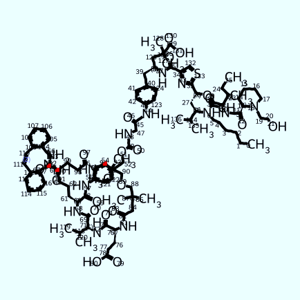 CCCCCCN(C(=O)[C@@H](NC(=O)[C@H]1CCCCN1CCO)[C@@H](C)CC)[C@H](C[C@@H](OCC)c1nc(C(=O)N[C@@H](Cc2ccc(NC(=O)CNC(=O)OCc3ccc(NC(=O)[C@H](CCCNC(N)=O)NC(=O)[C@@H](NC(=O)[C@H](CCC(=O)O)NC(=O)CC(C)(C)COCC(C)(C)CNC(=O)CCC(=O)N4Cc5ccccc5/C=C\c5ccccc54)C(C)C)cc3)cc2)CC(C)(C)C(=O)O)cs1)C(C)C